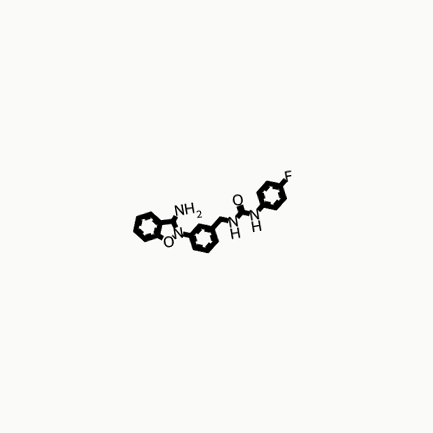 NC1c2ccccc2ON1c1cccc(CNC(=O)Nc2ccc(F)cc2)c1